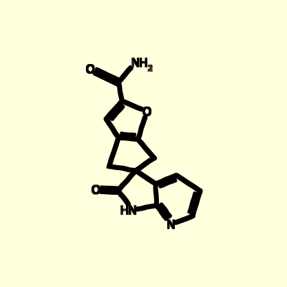 NC(=O)c1cc2c(o1)CC1(C2)C(=O)Nc2ncccc21